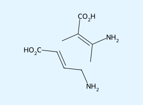 C/C(N)=C(\C)C(=O)O.NC/C=C/C(=O)O